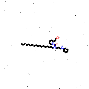 CCCCCCCCCCCCCCCCCCN(CCCN(C)c1ccccc1)C(=O)N1CCCCC1CC[O]